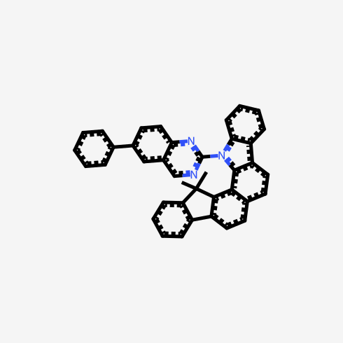 CC1(C)c2ccccc2-c2ccc3ccc4c5ccccc5n(-c5ncc6cc(-c7ccccc7)ccc6n5)c4c3c21